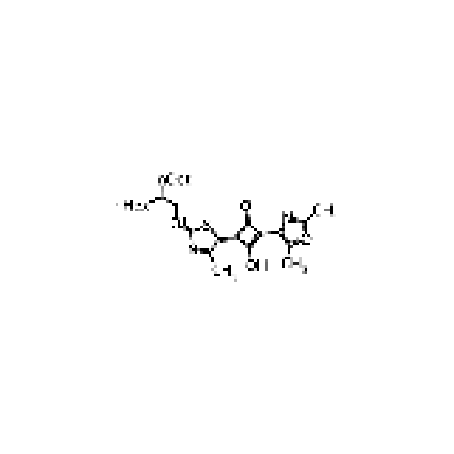 CCCCCCCCC(CCCCCC)C/[O+]=C1N=C(C)/C(=C2/C(=O)C(c3nc(C)oc3C)=C2O)S/1